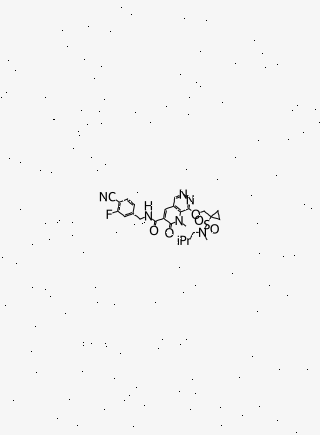 CC(C)CN(C)S(=O)(=O)C1(COc2nncc3cc(C(=O)NCc4ccc(C#N)c(F)c4)c(=O)n(C)c23)CC1